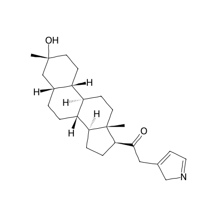 C[C@@]1(O)CC[C@H]2[C@H](CC[C@@H]3[C@@H]2CC[C@]2(C)[C@@H](C(=O)CC4=CC=NC4)CC[C@@H]32)C1